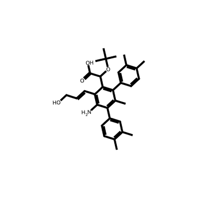 Cc1ccc(-c2c(C)c(-c3ccc(C)c(C)c3)c(C(OC(C)(C)C)C(=O)O)c(/C=C/CO)c2N)cc1C